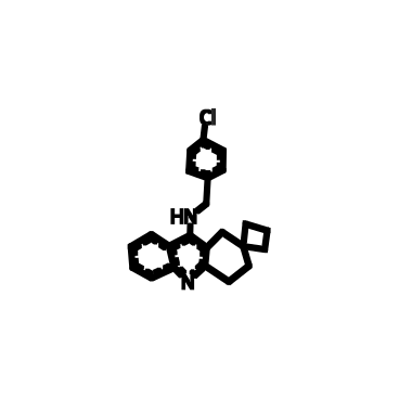 Clc1ccc(CNc2c3c(nc4ccccc24)CCC2(CCC2)C3)cc1